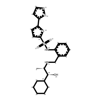 C[C@H](NCc1ccccc1NS(=O)(=O)c1ccc(-c2ccno2)s1)[C@H](O)C1CCCCC1